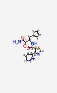 NC(=O)C(=O)C(Cc1cccs1)NC(=O)c1scnc1-c1ccccn1